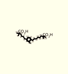 Cc1cc(CCCCC(C)(C)C(=O)O)ccc1CCCCCCC(C)(C)C(=O)O